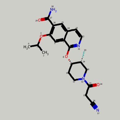 CC(C)Oc1cc2c(O[C@H]3CCN(C(=O)CC#N)C[C@H]3F)nccc2cc1C(N)=O